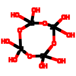 O[Si]1(O)O[Si](O)(O)O[Si](O)(O)O[Si](O)(O)O1